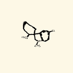 CNCC1(c2cccc(Cl)c2)CCCCC1O